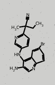 CCC(C)(C#N)c1ccc(Nc2c(N)cnc3ccc(Br)cc23)cn1